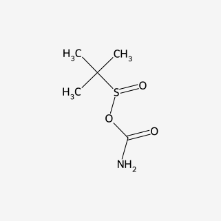 CC(C)(C)S(=O)OC(N)=O